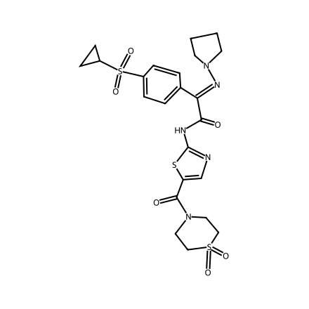 O=C(Nc1ncc(C(=O)N2CCS(=O)(=O)CC2)s1)/C(=N/N1CCCC1)c1ccc(S(=O)(=O)C2CC2)cc1